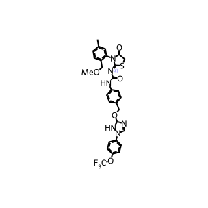 COCc1ccc(C)cc1N1C(=O)CS/C1=N\C(=O)Nc1ccc(COC2N=CN(c3ccc(OC(F)(F)F)cc3)N2)cc1